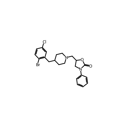 O=C1OC(CN2CCC(Cc3cc(Cl)ccc3Br)CC2)CN1c1ccccc1